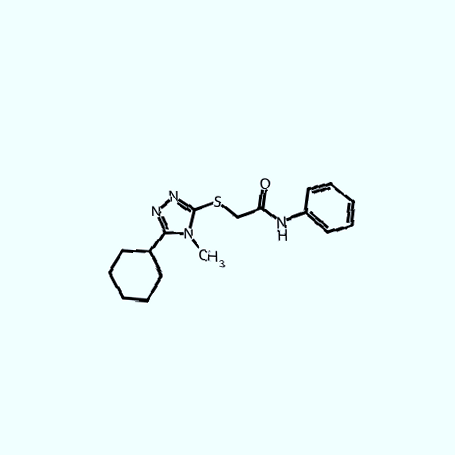 Cn1c(SCC(=O)Nc2ccccc2)nnc1C1CCCCC1